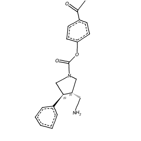 COC(=O)c1ccc(OC(=O)N2C[C@H](CN)[C@@H](c3ccccc3)C2)cc1